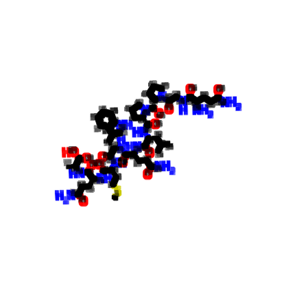 CSCC[C@H](NC(=O)[C@H](Cc1c[nH]c2ccccc12)NC(=O)[C@H](CCC(N)=O)NC(=O)[C@H](CC(C)C)NC(=O)[C@@H]1CCCN1C(=O)[C@@H]1CCCN1C(=O)CNC(=O)[C@@H](N)CCC(N)=O)C(=O)N[C@@H](CCC(N)=O)C(=O)N[C@@H](C)C(=O)O